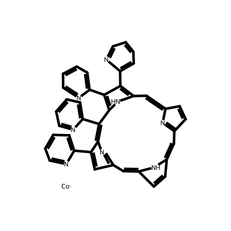 C1=Cc2cc3[nH]c(c(-c4ccccn4)c4nc(cc5ccc(cc1n2)[nH]5)C=C4c1ccccn1)c(-c1ccccn1)c3-c1ccccn1.[Co]